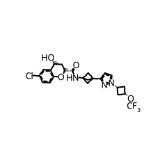 O=C(NC12CC(c3ccn([C@H]4C[C@@H](OC(F)(F)F)C4)n3)(C1)C2)[C@H]1C[C@@H](O)c2cc(Cl)ccc2O1